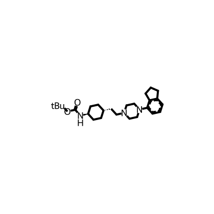 CC(C)(C)OC(=O)N[C@H]1CC[C@H](CCN2CCN(c3cccc4c3CCC4)CC2)CC1